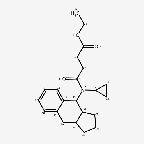 CCOC(=O)CCC(=O)N(C1CC1)C1c2ccccc2CC2CCCC21